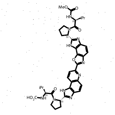 COC(=O)N[C@H](C(=O)N1CCC[C@H]1c1nc2ccc3nc(-c4ccc5c(ccc6nc([C@@H]7CCCN7C(=O)[C@@H](NC(=O)O)C(C)C)[nH]c65)n4)oc3c2[nH]1)C(C)C